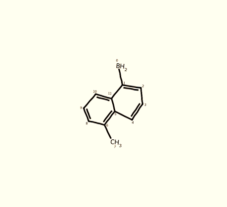 Bc1cccc2c(C)cccc12